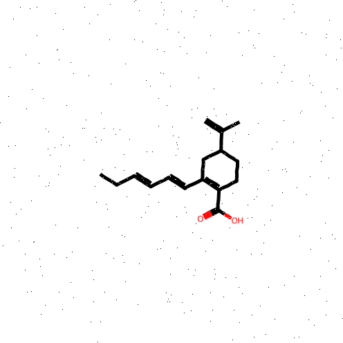 C=C(C)C1CCC(C(=O)O)=C(C=CC=CCC)C1